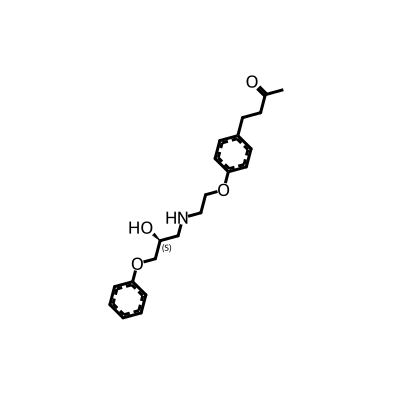 CC(=O)CCc1ccc(OCCNC[C@H](O)COc2ccccc2)cc1